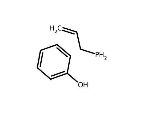 C=CCP.Oc1ccccc1